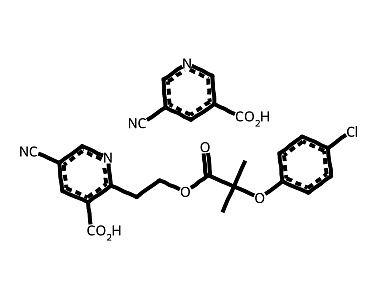 CC(C)(Oc1ccc(Cl)cc1)C(=O)OCCc1ncc(C#N)cc1C(=O)O.N#Cc1cncc(C(=O)O)c1